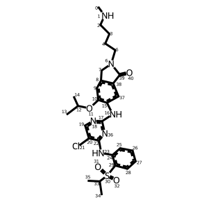 CNCCCCN1Cc2cc(OC(C)C)c(Nc3ncc(Cl)c(Nc4ccccc4S(=O)(=O)C(C)C)n3)cc2C1=O